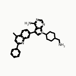 Cc1cc(-c2ccccc2)nc2cc(-c3cn(C4CCC(CN)CC4)c4ncnc(N)c34)ccc12